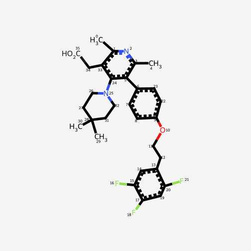 Cc1nc(C)c(-c2ccc(OCCc3cc(F)c(F)cc3F)cc2)c(N2CCC(C)(C)CC2)c1CC(=O)O